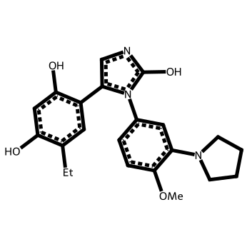 CCc1cc(-c2cnc(O)n2-c2ccc(OC)c(N3CCCC3)c2)c(O)cc1O